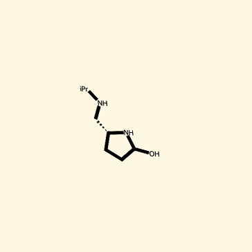 CC(C)NC[C@H]1CCC(O)N1